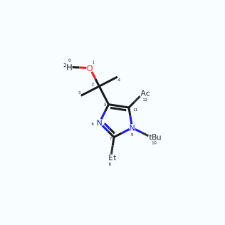 [2H]OC(C)(C)c1nc(CC)n(C(C)(C)C)c1C(C)=O